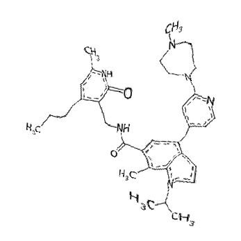 CCCc1cc(C)[nH]c(=O)c1CNC(=O)c1cc(-c2ccnc(N3CCN(C)CC3)c2)c2ccn(C(C)C)c2c1C